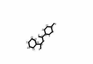 CC1CCC(C(C)CC(C)C2CCCCC2)CC1